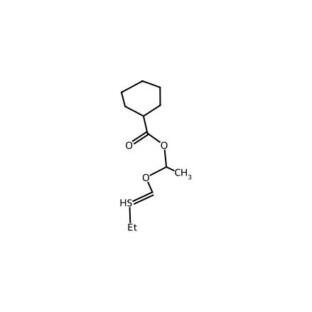 CC[SH]=COC(C)OC(=O)C1CCCCC1